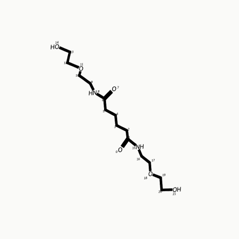 O=C(CCCCC(=O)NCCOCCO)NCCOCCO